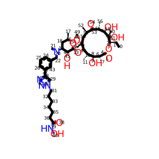 CC[C@H]1OC(=O)[C@H](C)[C@@H](O)[C@H](C)[C@@H](O[C@@H]2O[C@H](C)C[C@H](N(C)Cc3cccc(-c4cn(CCCCCCC(=O)NO)nn4)c3)[C@H]2O)[C@](C)(OC)C[C@@H](C)C(=O)[C@H](C)[C@@H](O)[C@]1(C)O